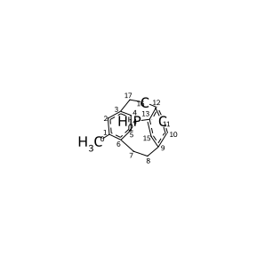 Cc1cc2ccc1CCc1ccc(c(P)c1)CC2